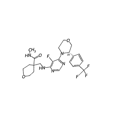 CNC(=O)C1(CNc2ncnc(N3CCOC[C@@H]3c3ccc(C(F)(F)F)cc3)c2F)CCOCC1